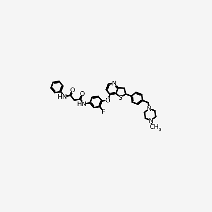 CN1CCN(Cc2ccc(C3Cc4nccc(Oc5ccc(NC(=O)CC(=O)Nc6ccccc6)cc5F)c4S3)cc2)CC1